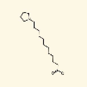 O=C(O)CCCCCCCCCCCN1CCCC1